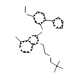 COc1ccc(-c2cccs2)c(Sc2nc3c(C)ncnc3n2CCNCC(C)(C)C)c1